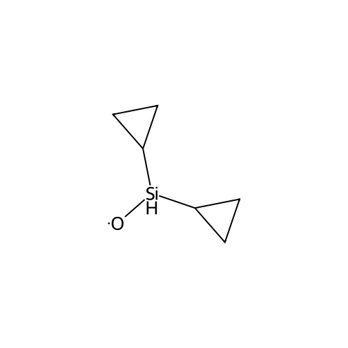 [O][SiH](C1CC1)C1CC1